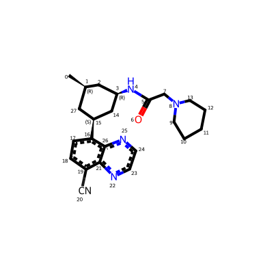 C[C@H]1C[C@@H](NC(=O)CN2CCCCC2)C[C@@H](c2ccc(C#N)c3nccnc23)C1